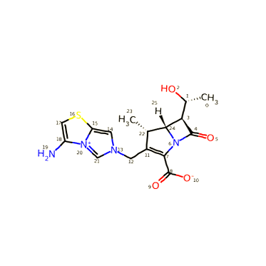 C[C@@H](O)[C@H]1C(=O)N2C(C(=O)[O-])=C(Cn3cc4scc(N)[n+]4c3)[C@H](C)[C@H]12